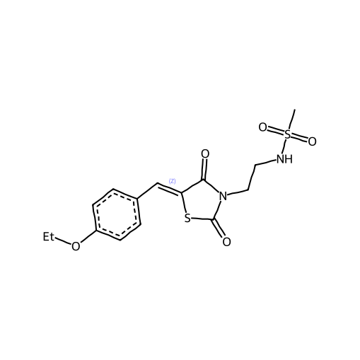 CCOc1ccc(/C=C2\SC(=O)N(CCNS(C)(=O)=O)C2=O)cc1